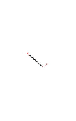 CCCCOC(=O)CCCCCCCCCCC(=O)OCCO